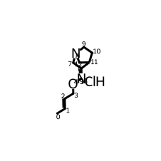 C/C=C/CON=C1CN2CCC1C2.Cl